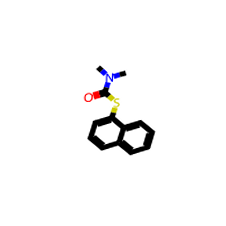 CN(C)C(=O)Sc1cccc2ccccc12